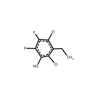 CCc1c(Cl)c(O)c(F)c(F)c1Cl